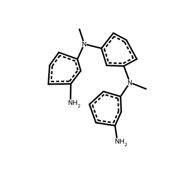 CN(c1cccc(N)c1)c1cccc(N(C)c2cccc(N)c2)c1